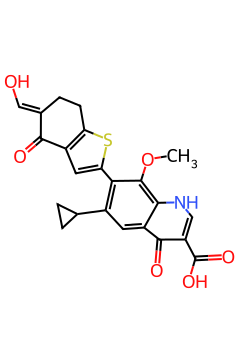 COc1c(-c2cc3c(s2)CC/C(=C\O)C3=O)c(C2CC2)cc2c(=O)c(C(=O)O)c[nH]c12